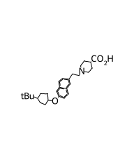 CC(C)(C)C1CCC(Oc2ccc3cc(CCN4CCC(C(=O)O)CC4)ccc3c2)CC1